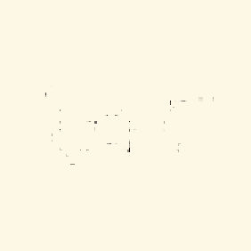 CCCOC(=O)c1cn2c(C)csc2n1